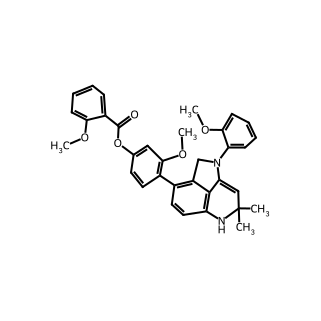 COc1ccccc1C(=O)Oc1ccc(-c2ccc3c4c2CN(c2ccccc2OC)C4=CC(C)(C)N3)c(OC)c1